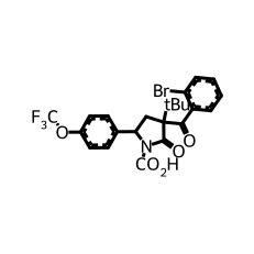 CC(C)(C)C1(C(=O)c2ccccc2Br)CC(c2ccc(OC(F)(F)F)cc2)N(C(=O)O)C1=O